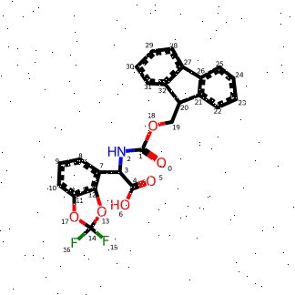 O=C(NC(C(=O)O)c1cccc2c1OC(F)(F)O2)OCC1c2ccccc2-c2ccccc21